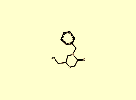 O=C1COC(CO)CN1Cc1ccccc1